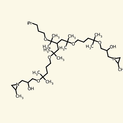 CC(C)CCCOC(C)(C)C(CC(C)(C)OCCCC(C)(C)OCC(O)CN1CC1C)CC(C)(C)OCCCC(C)(C)OCC(O)CN1CC1C